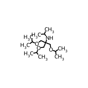 CC(C)NC(COC(C)C)(COC(C)C)COC(C)C